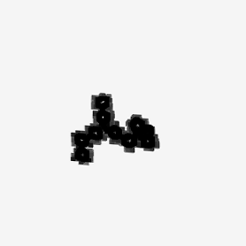 c1ccc(-c2ccc(N(c3ccc(-c4cccc(-c5ccccc5)c4)cc3)c3ccc(-c4cccc(N5c6ccccc6Oc6ccccc65)c4)cc3)cc2)cc1